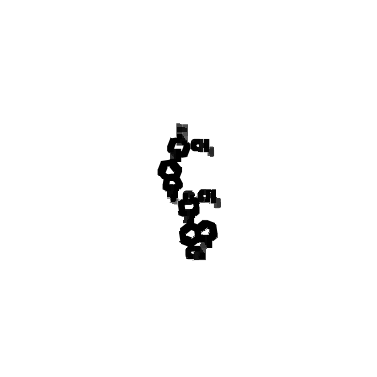 C[C@@H]1CN(c2ccc3c(c2)CN(C[C@H]2CN(c4ccc(C#N)c5ncccc45)C[C@@H](C)O2)C3)CCN1